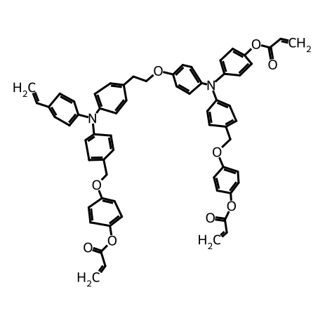 C=CC(=O)Oc1ccc(OCc2ccc(N(c3ccc(C=C)cc3)c3ccc(CCOc4ccc(N(c5ccc(COc6ccc(OC(=O)C=C)cc6)cc5)c5ccc(OC(=O)C=C)cc5)cc4)cc3)cc2)cc1